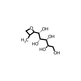 CC1COC1[C@H](O)[C@@H](O)[C@H](O)[C@H](O)CO